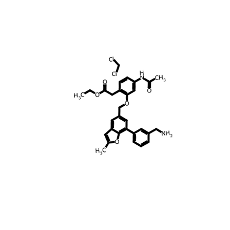 CCOC(=O)Cc1ccc(NC(C)=O)cc1OCc1cc(-c2cccc(CN)c2)c2oc(C)cc2c1.ClCCl